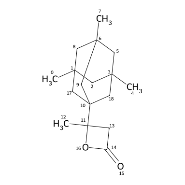 CC12CC3(C)CC(C)(C1)CC(C1(C)CC(=O)O1)(C2)C3